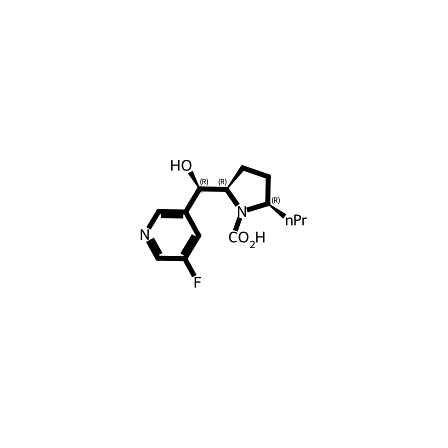 CCC[C@@H]1CC[C@H]([C@H](O)c2cncc(F)c2)N1C(=O)O